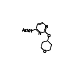 CC(=O)Nc1ccnc(OC2CCOCC2)n1